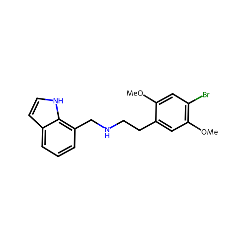 COc1cc(CCNCc2cccc3cc[nH]c23)c(OC)cc1Br